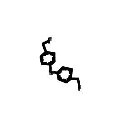 FCc1ccc(Sc2ccc(CF)cc2)cc1